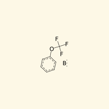 FC(F)(F)Oc1ccccc1.[B]